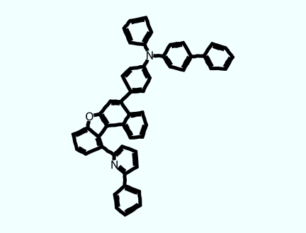 c1ccc(-c2ccc(N(c3ccccc3)c3ccc(-c4cc5oc6cccc(-c7cccc(-c8ccccc8)n7)c6c5c5ccccc45)cc3)cc2)cc1